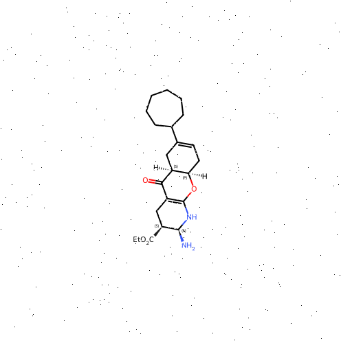 CCOC(=O)[C@H]1CC2=C(N[C@H]1N)O[C@@H]1CC=C(C3CCCCCC3)C[C@@H]1C2=O